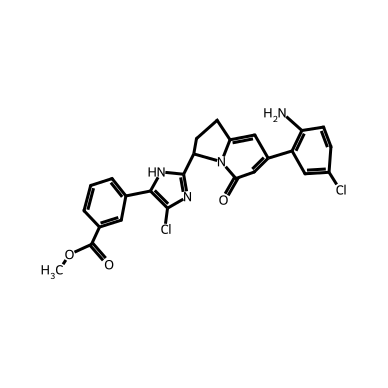 COC(=O)c1cccc(-c2[nH]c(C3CCc4cc(-c5cc(Cl)ccc5N)cc(=O)n43)nc2Cl)c1